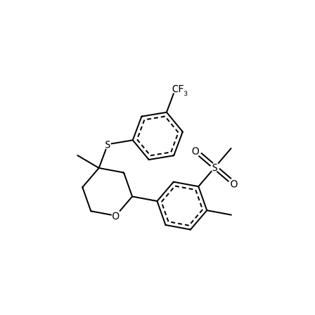 Cc1ccc(C2CC(C)(Sc3cccc(C(F)(F)F)c3)CCO2)cc1S(C)(=O)=O